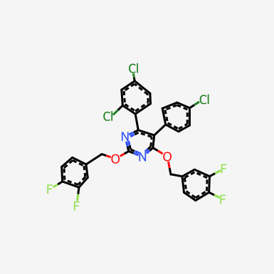 Fc1ccc(COc2nc(OCc3ccc(F)c(F)c3)c(-c3ccc(Cl)cc3)c(-c3ccc(Cl)cc3Cl)n2)cc1F